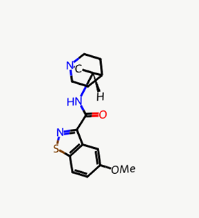 COc1ccc2snc(C(=O)N[C@@H]3CN4CCC3CC4)c2c1